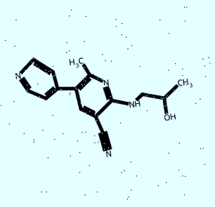 Cc1nc(NCC(C)O)c(C#N)cc1-c1ccncc1